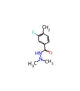 Cc1ccc(C(=O)NN(C)C)cc1F